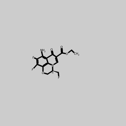 CCOC(=O)c1cn2c3c(c(F)c(F)c(N)c3c1=O)OC[C@@H]2CF